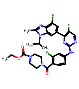 CCOC(=O)N1CCN(C(=O)c2ccc(Nc3ncc(F)c(-c4cc(F)c5nc(C)n(C(C)C)c5c4)n3)cc2F)CC1